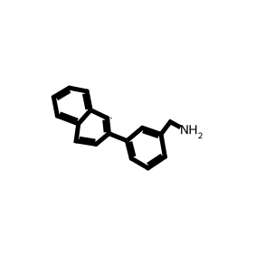 NCc1cccc(-c2[c]c3ccccc3cc2)c1